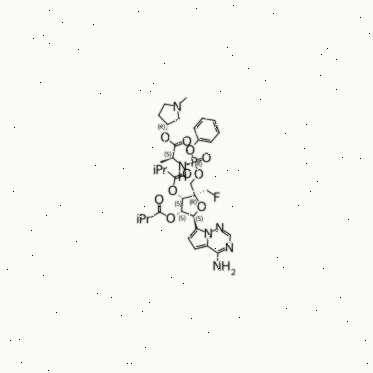 CC(C)C(=O)O[C@H]1[C@H](c2ccc3c(N)ncnn23)O[C@](CF)(CO[P@](=O)(N[C@@H](C)C(=O)O[C@@H]2CCN(C)C2)Oc2ccccc2)[C@H]1OC(=O)C(C)C